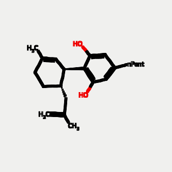 C=C(C)C[C@@H]1CCC(C)=C[C@H]1c1c(O)cc(CCCCC)cc1O